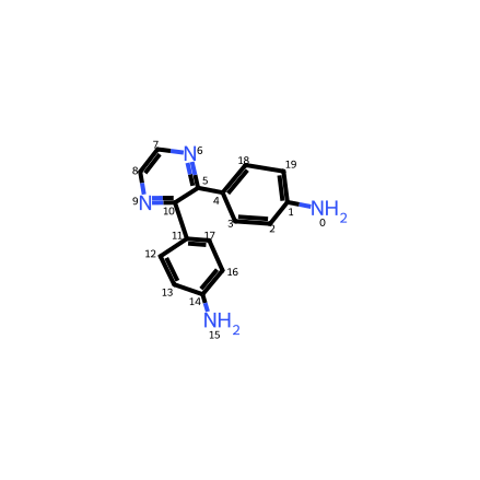 Nc1ccc(-c2nccnc2-c2ccc(N)cc2)cc1